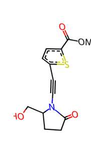 COC(=O)c1ccc(C#CN2C(=O)CCC2CO)s1